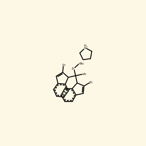 C1CC[SiH2]C1.CCC[CH2][Zr][C](CCC)(C1C(CC)=Cc2ccccc21)C1C(CC)=Cc2ccccc21